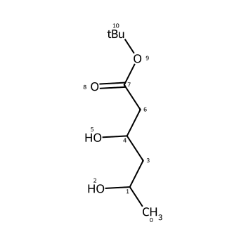 CC(O)CC(O)CC(=O)OC(C)(C)C